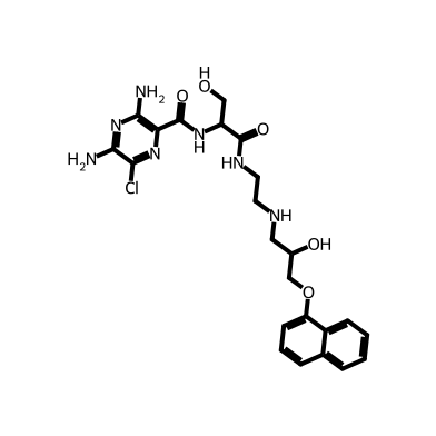 Nc1nc(N)c(C(=O)NC(CO)C(=O)NCCNCC(O)COc2cccc3ccccc23)nc1Cl